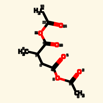 CC(=O)OC(=O)CC(C)C(=O)OC(C)=O